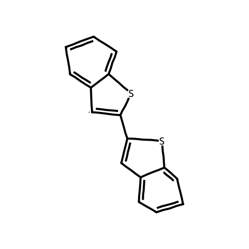 [c]1c(-c2cc3ccccc3s2)sc2ccccc12